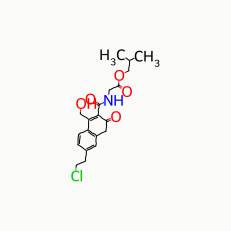 CC(C)COC(=O)CNC(=O)C1=C(CO)c2ccc(CCCl)cc2CC1=O